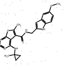 COc1ccc2[nH]c(CNC(=O)c3c(C)oc4ncnc(NC5(C)CC5)c34)cc2c1